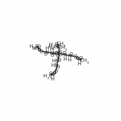 CC(=O)Nc1ccc(OCCCC(=O)NCCCNC(=O)CCOCC(COCCC(=O)NCCCNC(=O)CCCOc2ccc(NC(C)=O)cc2)(COCCC(=O)NCCCNC(=O)CCCOc2ccc(NC(C)=O)cc2)NC(=O)CCC(C)CC(C)C(=O)C(C)C)cc1